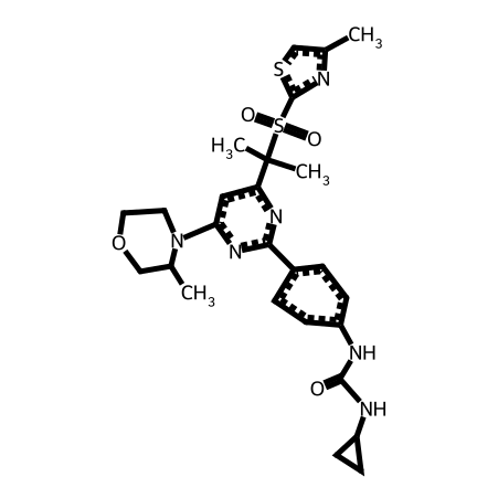 Cc1csc(S(=O)(=O)C(C)(C)c2cc(N3CCOCC3C)nc(-c3ccc(NC(=O)NC4CC4)cc3)n2)n1